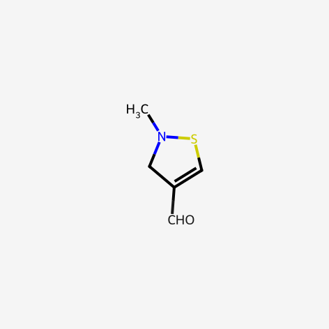 CN1CC(C=O)=CS1